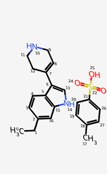 CCc1ccc2c(C3=CCNCC3)c[nH]c2c1.Cc1ccc(S(=O)(=O)O)cc1